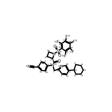 N#Cc1ccc(N(Cc2ccc(C3CCCCC3)cn2)C(=O)[C@H]2CCN2S(=O)(=O)c2c(F)c(F)c(F)c(F)c2F)cc1